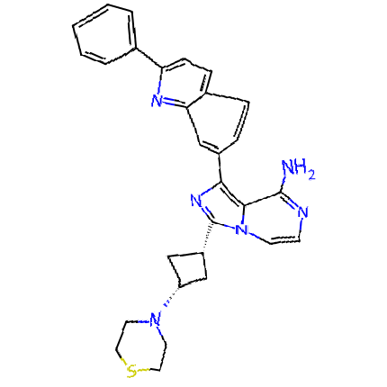 Nc1nccn2c1c(-c1ccc3ccc(-c4ccccc4)nc3c1)nc2[C@H]1C[C@@H](N2CCSCC2)C1